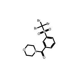 O=C(c1cccc(S(=O)(=O)C(Br)(Br)Br)c1)N1CCOCC1